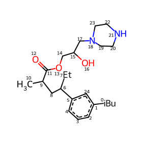 CCC(C)c1cccc(C(CC)CC(C)C(=O)OCC(O)CN2CCNCC2)c1